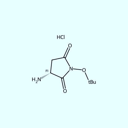 CC(C)(C)ON1C(=O)C[C@@H](N)C1=O.Cl